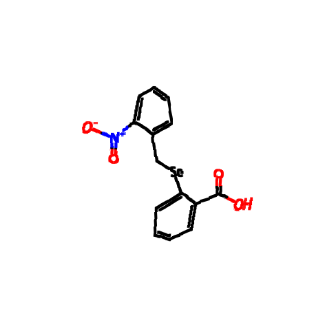 O=C(O)c1ccccc1[Se]Cc1ccccc1[N+](=O)[O-]